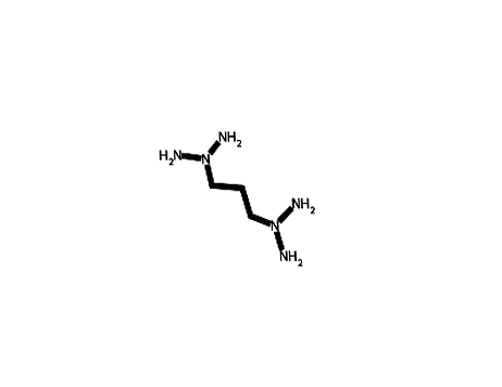 NN(N)CCCN(N)N